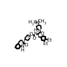 CCc1ccc(C[C@@H](NC(=O)ON2CCC(N3CCc4ccccc4NC3=O)CC2)C(=O)N2CCC(N(C)C)CC2)cc1CC